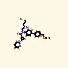 CCC[C@H](N)CN(C(=O)[C@H]1C[C@@H]1c1cccc(F)n1)c1ccc(-c2ccc(COC)cc2)cc1